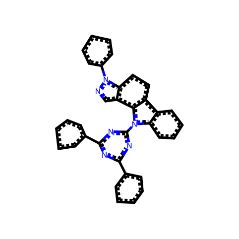 c1ccc(-c2nc(-c3ccccc3)nc(-n3c4ccccc4c4ccc5c(cnn5-c5ccccc5)c43)n2)cc1